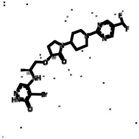 C[C@@H](CO[C@H]1CCN(C2CCN(c3ncc(C(F)F)cn3)CC2)C1=O)Nc1cn[nH]c(=O)c1Br